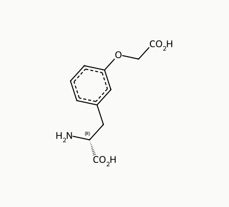 N[C@H](Cc1cccc(OCC(=O)O)c1)C(=O)O